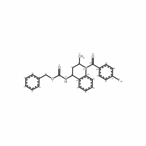 CC1CC(NC(=O)OCc2ccccc2)c2ccccc2N1C(=O)c1ccc(F)cc1